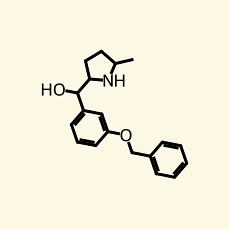 CC1CCC(C(O)c2cccc(OCc3ccccc3)c2)N1